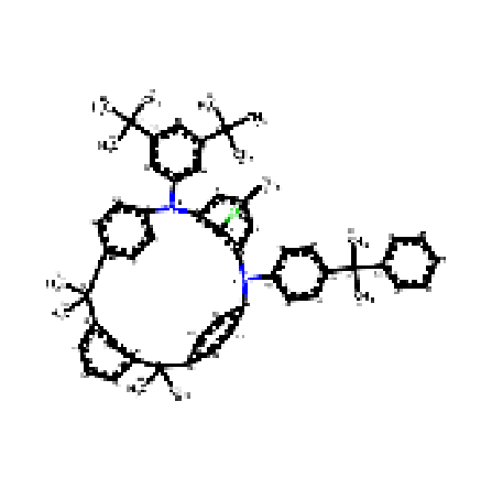 Cc1cc2c(Cl)c(c1)N(c1cc(C(C)(C)C)cc(C(C)(C)C)c1)c1ccc(cc1)C(C)(C)c1cccc(c1)C(C)(C)c1ccc(cc1)N2c1ccc(C(C)(C)c2ccccc2)cc1